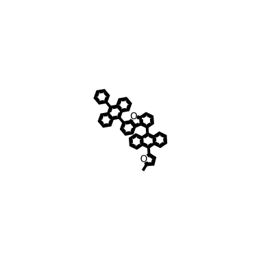 Cc1ccc(-c2c3ccccc3c(-c3cccc4oc5c(-c6c7ccccc7c(-c7ccccc7)c7ccccc67)cccc5c34)c3ccccc23)o1